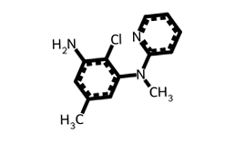 Cc1cc(N)c(Cl)c(N(C)c2ccccn2)c1